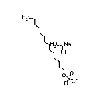 CCCCCCCCCCCCCCOS(=O)(=O)[O-].CCO.[Na+]